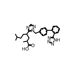 CC(C)CCC(CC(C)C(=O)O)c1ncnn1Cc1ccc(-c2ccccc2-c2nnn[nH]2)cc1